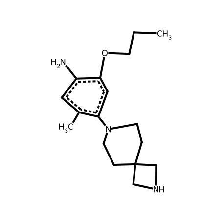 CCCOc1cc(N2CCC3(CC2)CNC3)c(C)cc1N